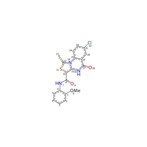 COc1ccccc1NC(=O)c1sc(=S)n2c1[nH]c(=O)c1cc(Cl)ccc12